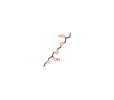 CCOCC(O)COCCOCC(O)CC